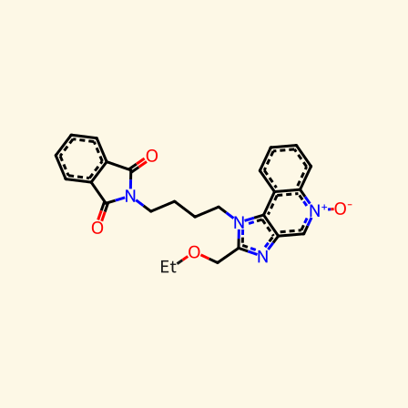 CCOCc1nc2c[n+]([O-])c3ccccc3c2n1CCCCN1C(=O)c2ccccc2C1=O